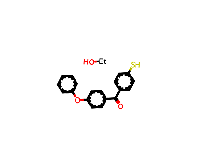 CCO.O=C(c1ccc(S)cc1)c1ccc(Oc2ccccc2)cc1